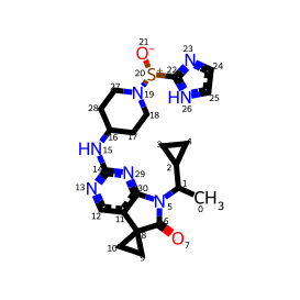 CC(C1CC1)N1C(=O)C2(CC2)c2cnc(NC3CCN([S+]([O-])c4ncc[nH]4)CC3)nc21